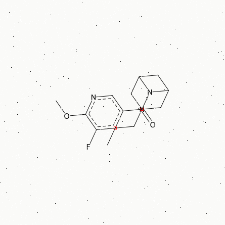 CCCN1CC2CC(C1)N2C(=O)c1cnc(OC)c(F)c1